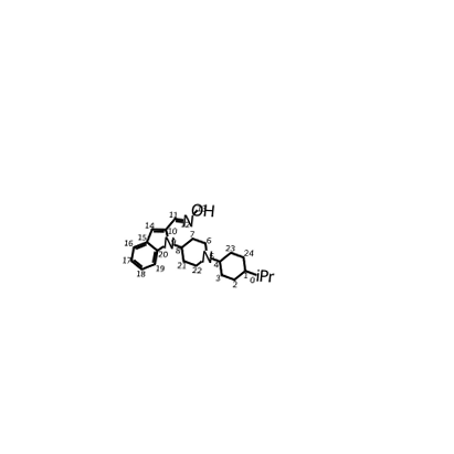 CC(C)C1CCC(N2CCC(n3c(C=NO)cc4ccccc43)CC2)CC1